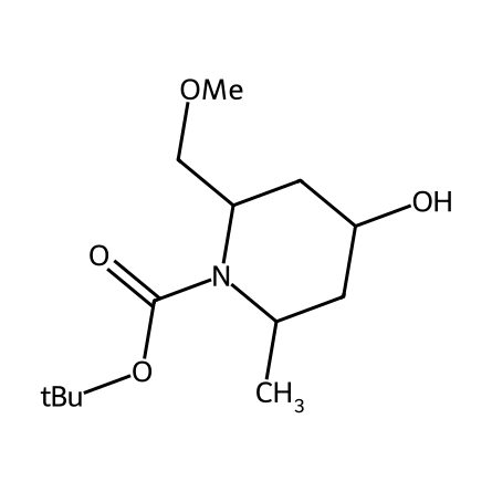 COCC1CC(O)CC(C)N1C(=O)OC(C)(C)C